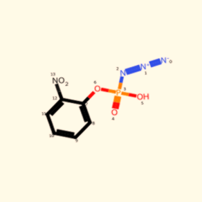 [N-]=[N+]=NP(=O)(O)Oc1ccccc1[N+](=O)[O-]